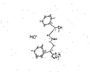 Cl.O=C(O)C(CCNCC(O)c1ccccc1)c1ccccc1